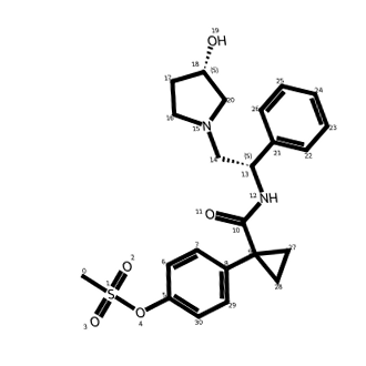 CS(=O)(=O)Oc1ccc(C2(C(=O)N[C@H](CN3CC[C@H](O)C3)c3ccccc3)CC2)cc1